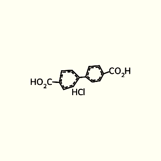 Cl.O=C(O)c1ccc(-c2ccc(C(=O)O)cc2)cc1